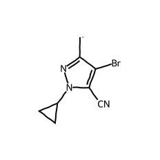 [CH2]c1nn(C2CC2)c(C#N)c1Br